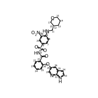 O=C(NS(=O)(=O)c1ccc(NC[C@@H]2CCCOC2)c([N+](=O)[O-])c1)c1ccccc1Oc1cnc2[nH]ccc2c1